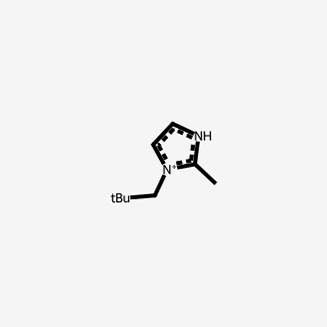 Cc1[nH]cc[n+]1CC(C)(C)C